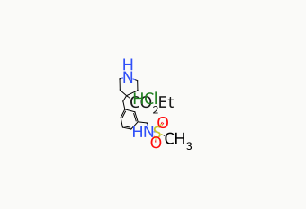 CCOC(=O)C1(Cc2cccc(CNS(C)(=O)=O)c2)CCNCC1.Cl